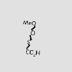 COCCOCCSCCC(=O)O